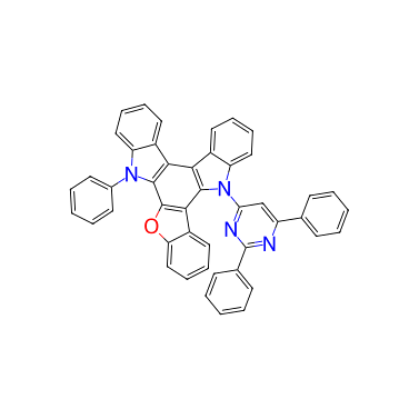 c1ccc(-c2cc(-n3c4ccccc4c4c5c6ccccc6n(-c6ccccc6)c5c5oc6ccccc6c5c43)nc(-c3ccccc3)n2)cc1